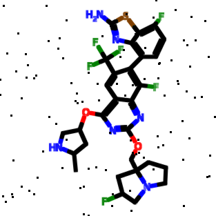 CC1CC(Oc2nc(OCC34CCCN3CC(F)C4)nc3c(F)c(-c4ccc(F)c5sc(N)nc45)c(C(F)(F)F)cc23)CN1